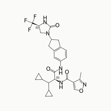 Cc1nocc1C(=O)N[C@H](C(=O)Nc1ccc2c(c1)CC(N1C[C@@H](C(F)(F)F)NC1=O)C2)C(C1CC1)C1CC1